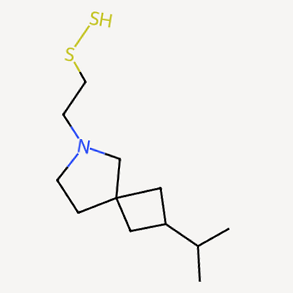 CC(C)C1CC2(CCN(CCSS)C2)C1